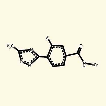 CCCNC(=O)c1ccc(-c2noc(C(F)(F)F)n2)c(F)c1